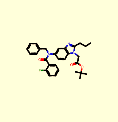 CCCc1nc2cc(N(Cc3ccccc3)C(=O)c3ccccc3F)ccc2n1CC(=O)OC(C)(C)C